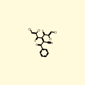 N#CC(C(=O)c1ccccc1)=C(C(=S)C(Cl)=CCl)C(=S)C(Cl)=CCl